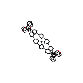 c1ccc2c(c1)c1ccccc1n2-c1ccc(-c2ccc3c(c2)C2(c4cc(-c5ccc(-n6c7ccccc7c7ccccc76)cc5)ccc4-3)c3cc(-c4ccc(-n5c6ccccc6c6ccccc65)cc4)ccc3-c3ccc(-c4ccc(-n5c6ccccc6c6ccccc65)cc4)cc32)cc1